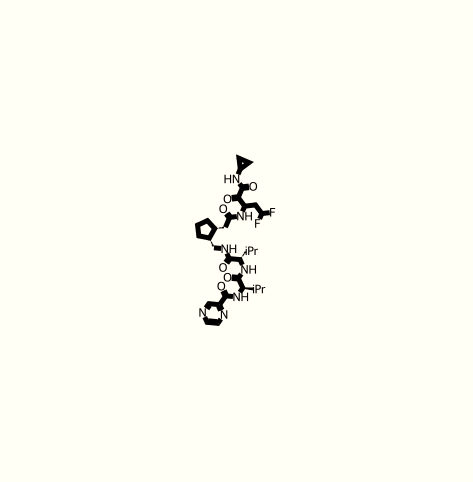 CC(C)[C@H](NC(=O)[C@H](NC(=O)c1cnccn1)C(C)C)C(=O)NC[C@@H]1CCC[C@@H]1CC(=O)NC(CC(F)F)C(=O)C(=O)NC1CC1